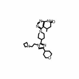 CC1CC(=O)Nc2ncnc(N3CCC(c4nc(C5CCOCC5)cn4CCN4CCC4)CC3)c21